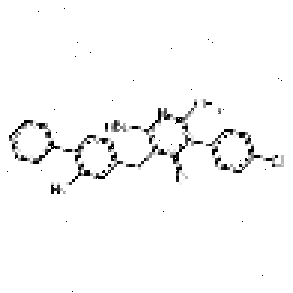 CCCCc1nc(C)n(-c2ccc(Cl)cc2)c(=O)c1Cc1ccc(-c2ccccc2)c(C#N)c1